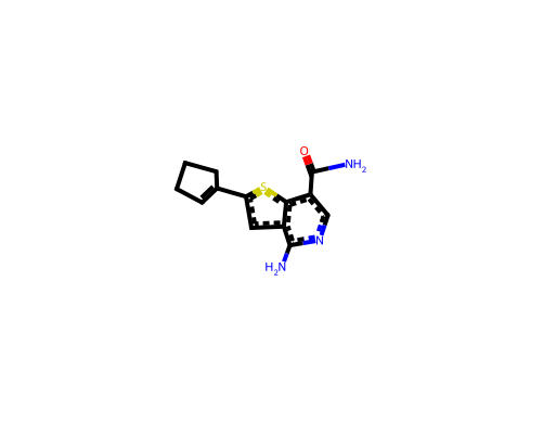 NC(=O)c1cnc(N)c2cc(C3=CCCC3)sc12